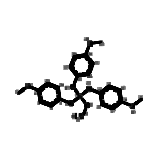 COc1ccc(O[Si](O[SiH2])(Oc2ccc(OC)cc2)Oc2ccc(OC)cc2)cc1